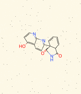 O=C1NC(=O)C2(c3ccc4c(O)ccnc4n3)C=CC=CC12